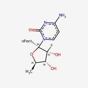 CCCCC[C@@]1(n2ccc(N)nc2=O)O[C@H](C)[C@@H](O)[C@]1(O)F